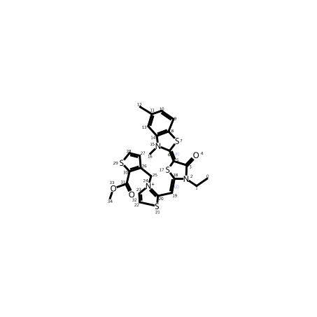 CCn1c(=O)/c(=C2\Sc3ccc(C)cc3N2C)s/c1=C\c1scc[n+]1Cc1ccsc1C(=O)OC